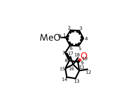 COc1ccccc1C=C1C(=O)C2(C)CCC1C2(C)C